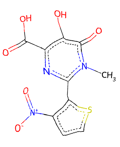 Cn1c(-c2sccc2[N+](=O)[O-])nc(C(=O)O)c(O)c1=O